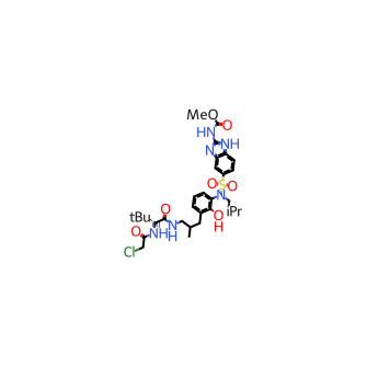 COC(=O)Nc1nc2cc(S(=O)(=O)N(CC(C)C)c3cccc(CC(C)CNC(=O)[C@H](NC(=O)CCl)C(C)(C)C)c3O)ccc2[nH]1